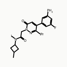 CC1CC(N(I)C(=O)Cn2nc(C(C)C)c(-c3cc(F)cc(P)c3)cc2=O)C1